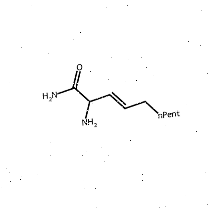 CCCCCC/C=C/C(N)C(N)=O